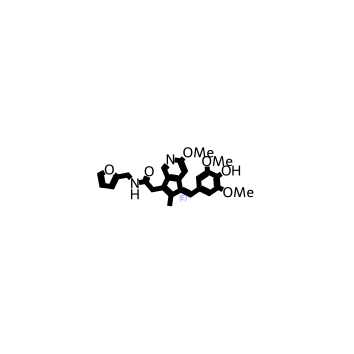 COc1cc2c(cn1)C(CC(=O)NCc1ccco1)=C(C)/C2=C/c1cc(OC)c(O)c(OC)c1